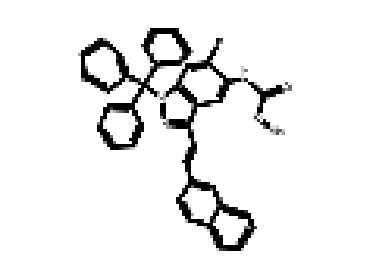 CC(C)(C)OC(=O)Nc1cc2c(C=Cc3ccc4ccccc4c3)nn(C(c3ccccc3)(c3ccccc3)c3ccccc3)c2cc1F